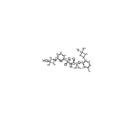 Cc1ccc(C2CC(F)(F)C2)c(OC2(C(=O)NS(=O)(=O)c3cccc(N4CC(C)(O)C4)n3)CC2)c1